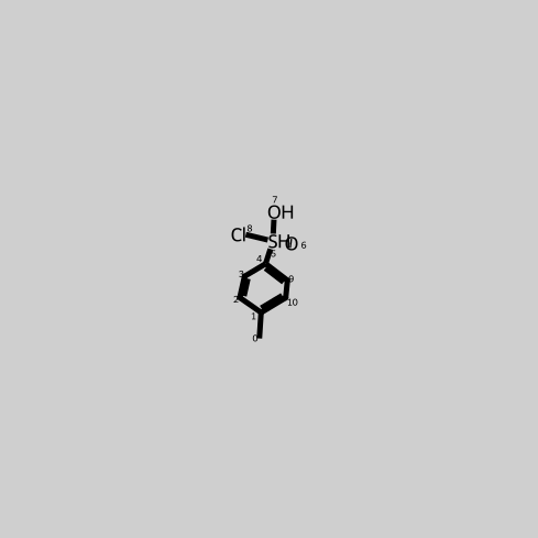 Cc1ccc([SH](=O)(O)Cl)cc1